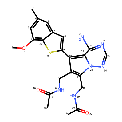 COc1cc(C)cc2cc(-c3c(CNC(C)=O)c(CNC(C)=O)n4ncnc(N)c34)sc12